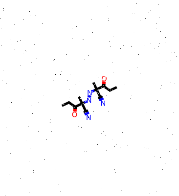 CCC(=O)C(C)(C#N)N=NC(C)(C#N)C(=O)CC